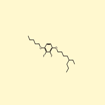 CCCCCOc1ccc(OCCCCC(CC)CCC)c(F)c1F